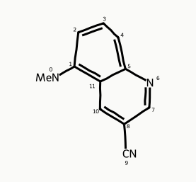 CNc1cccc2ncc(C#N)cc12